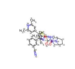 Cc1cc(-c2sc(NC(=O)N3C4CCC3CN(C(=O)OC(C)(C)C)C4)nc2-c2cccc(C#N)c2)cc(C)n1